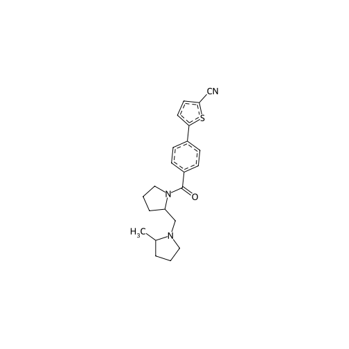 CC1CCCN1CC1CCCN1C(=O)c1ccc(-c2ccc(C#N)s2)cc1